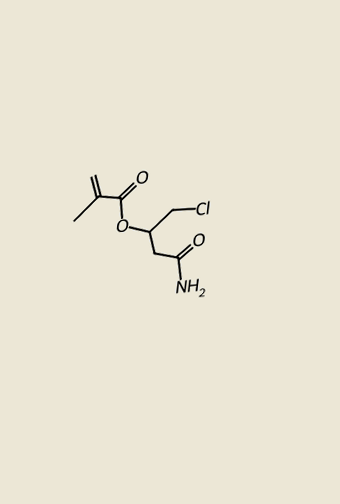 C=C(C)C(=O)OC(CCl)CC(N)=O